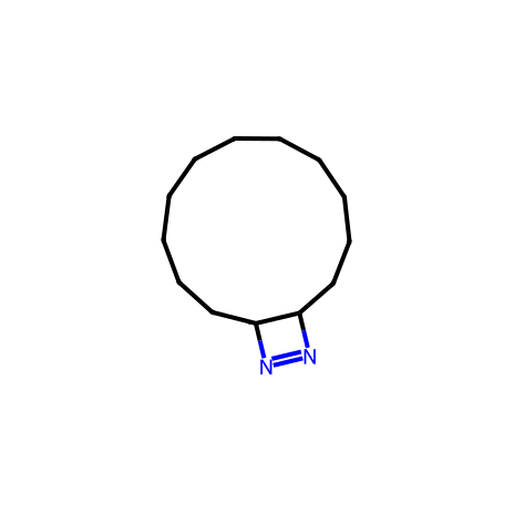 C1CCCCC[C]2N=NC2CCCCC1